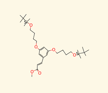 COC(=O)/C=C/c1cc(OCCCCO[Si](C)(C)C(C)(C)C)cc(OCCCCO[Si](C)(C)C(C)(C)C)c1